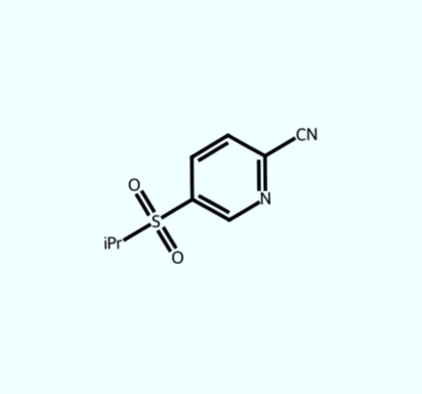 CC(C)S(=O)(=O)c1ccc(C#N)nc1